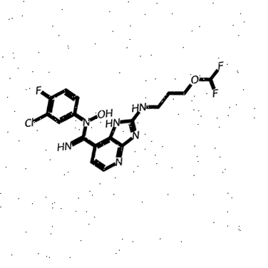 N=C(c1ccnc2nc(NCCCOC(F)F)[nH]c12)N(O)c1ccc(F)c(Cl)c1